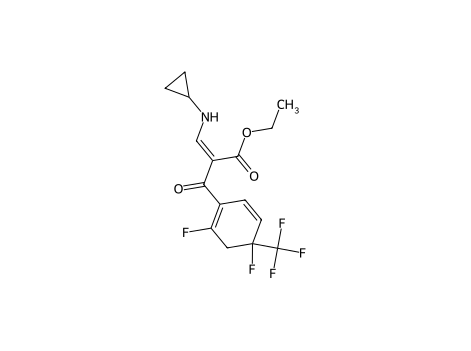 CCOC(=O)C(=CNC1CC1)C(=O)C1=C(F)CC(F)(C(F)(F)F)C=C1